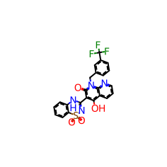 O=c1c(C2=NS(=O)(=O)c3ccccc3N2)c(O)c2cccnc2n1Cc1cccc(C(F)(F)F)c1